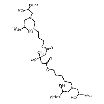 CCCCCCC(O)CN(CCCCCOC(=O)CC(C)(O)CC(=O)OCCCCCN(CC(O)CCCCCC)CC(CCCCCC)N=O)CC(O)CCCCCC